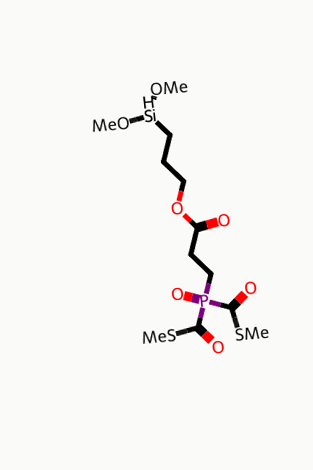 CO[SiH](CCCOC(=O)CCP(=O)(C(=O)SC)C(=O)SC)OC